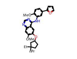 CCCC1(CC)CCC(Oc2cc3c(Nc4cc(-c5ccco5)ccc4OC)ncnc3cc2OC)C1